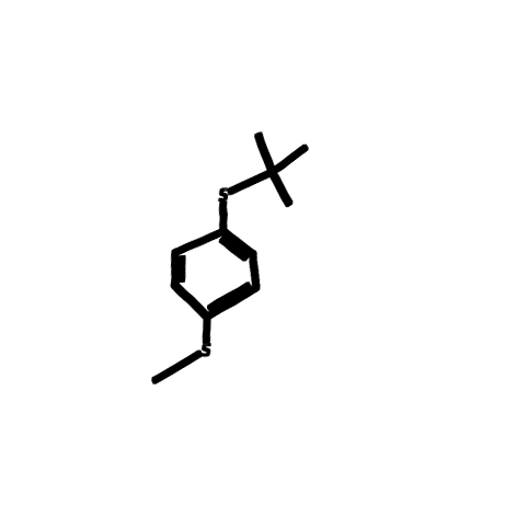 CSc1ccc(SC(C)(C)C)cc1